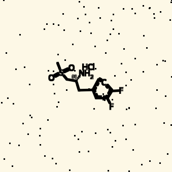 CS(=O)(=O)C[C@H](N)Cc1ccc(F)c(F)c1.Cl